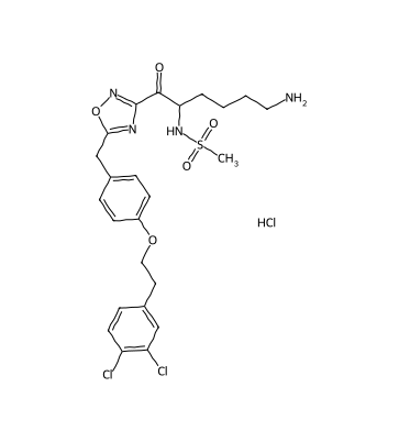 CS(=O)(=O)NC(CCCCN)C(=O)c1noc(Cc2ccc(OCCc3ccc(Cl)c(Cl)c3)cc2)n1.Cl